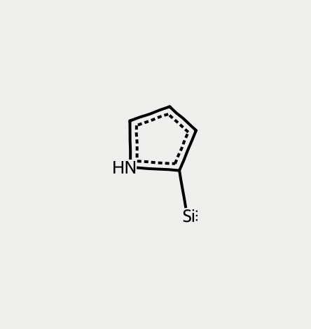 [Si]c1ccc[nH]1